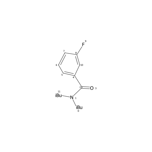 CCC(C)N(C(=O)c1cccc(F)c1)C(C)CC